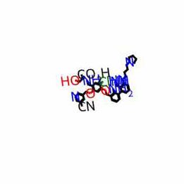 N#Cc1cncc(COc2cc(OCc3cccc(-c4cccc(NCCCCN5CCCC5)c4C=N)c3N)c(Cl)cc2CNC(CO)C(=O)O)c1